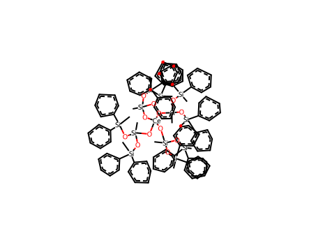 C[Si](O[Si](C)(c1ccccc1)c1ccccc1)(O[Si](C)(c1ccccc1)c1ccccc1)[O][Ce]([O][Si](C)(O[Si](C)(c1ccccc1)c1ccccc1)O[Si](C)(c1ccccc1)c1ccccc1)([O][Si](C)(O[Si](C)(c1ccccc1)c1ccccc1)O[Si](C)(c1ccccc1)c1ccccc1)[O][Si](C)(O[Si](C)(c1ccccc1)c1ccccc1)O[Si](C)(c1ccccc1)c1ccccc1